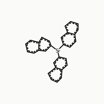 c1ccc2cc([Si](c3ccc4ccccc4c3)c3ccc4ccccc4c3)ccc2c1